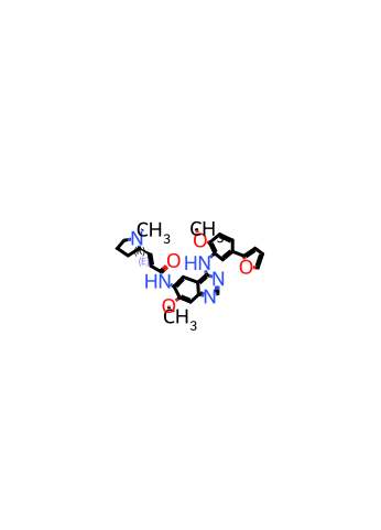 COc1cc2ncnc(Nc3cc(-c4ccco4)ccc3OC)c2cc1NC(=O)/C=C/[C@H]1CCCN1C